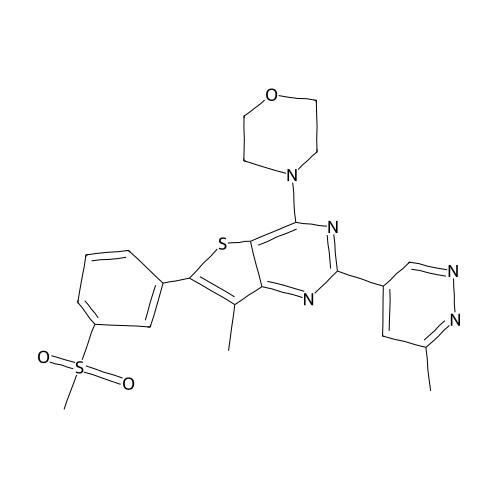 Cc1cc(-c2nc(N3CCOCC3)c3sc(-c4cccc(S(C)(=O)=O)c4)c(C)c3n2)cnn1